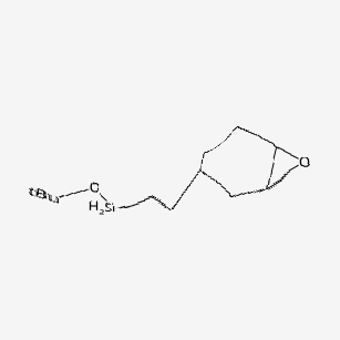 CC(C)(C)O[SiH2]CCC1CCC2OC2C1